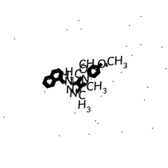 CCOc1ccc(-n2c(C)c3c(C)nnc(NCc4cccc5ccccc45)c3c2C)c(OC)c1